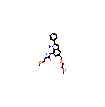 COCCOCc1cc(NC(=O)CCOC)c2[nH]c(-c3ccccc3)cc2c1